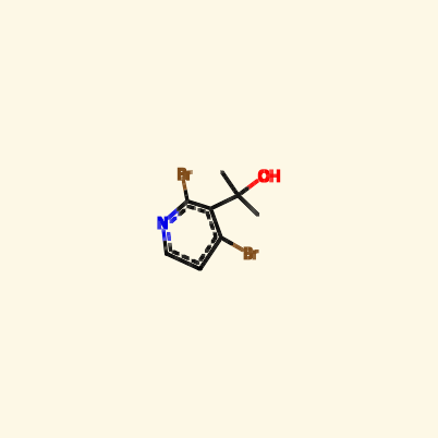 CC(C)(O)c1c(Br)ccnc1Br